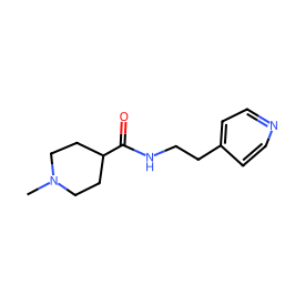 CN1CCC(C(=O)NCCc2ccncc2)CC1